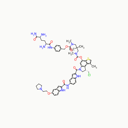 Cc1csc2c(OC(=O)N(C)CC(C)(C)CN(C)C(=O)OCc3ccc(NC(=O)[C@@H](N)CCC(N)C(N)=O)cc3)cc3c(c12)[C@H](CCl)CN3C(=O)c1cc2cc(NC(=O)c3cc4cc(OCCN5CCCC5)ccc4[nH]3)ccc2[nH]1